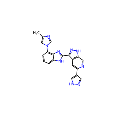 Cc1cn(-c2cccc3[nH]c(-c4n[nH]c5cnc(-c6cn[nH]c6)cc45)nc23)cn1